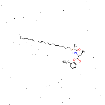 CCC=CCC=CCC=CCC=CCC=CCCCCSC(CC)C(=O)NC(CC(C)C)C(=O)Oc1ccccc1C(=O)O